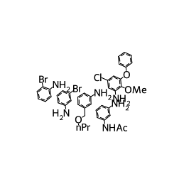 CC(=O)Nc1cccc(N)c1.CCCOCc1cccc(N)c1.COc1c(N)cc(Cl)cc1Oc1ccccc1.Nc1cccc(Br)c1.Nc1ccccc1Br